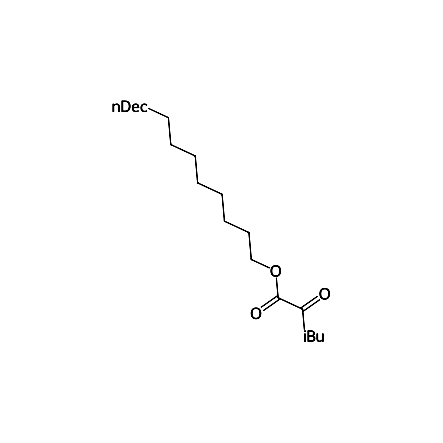 CCCCCCCCCCCCCCCCCCOC(=O)C(=O)C(C)CC